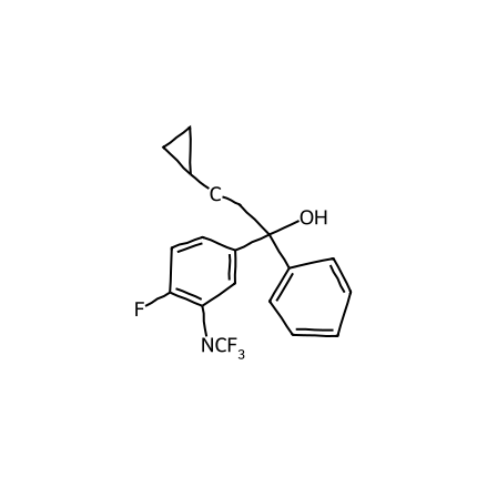 OC(CCC1CC1)(c1ccccc1)c1ccc(F)c(NC(F)(F)F)c1